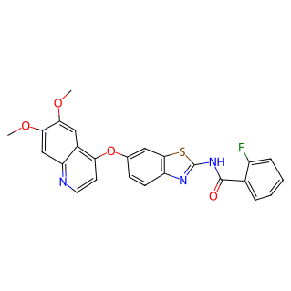 COc1cc2nccc(Oc3ccc4nc(NC(=O)c5ccccc5F)sc4c3)c2cc1OC